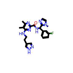 Cc1nc(C(=O)NC(c2cccc(F)c2)c2nccn2C)nc(NCCc2cn[nH]c2)c1C